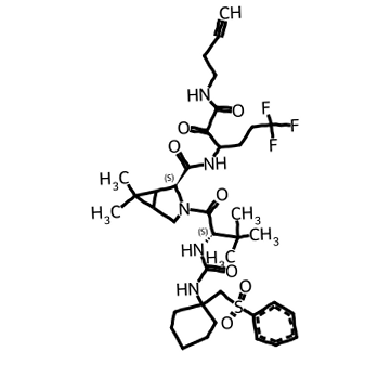 C#CCCNC(=O)C(=O)C(CCC(F)(F)F)NC(=O)[C@@H]1C2C(CN1C(=O)[C@@H](NC(=O)NC1(CS(=O)(=O)c3ccccc3)CCCCC1)C(C)(C)C)C2(C)C